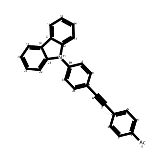 CC(=O)c1ccc(C#Cc2ccc(-n3c4ccccc4c4ccccc43)cc2)cc1